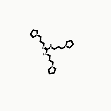 C1CCN(CCCN=C(NCCCN2CCCC2)NCCCN2CCCC2)C1